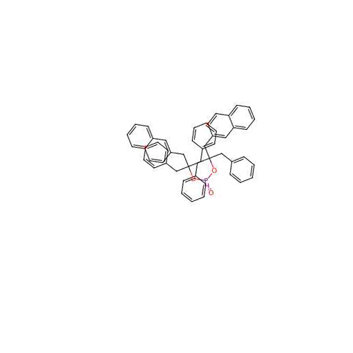 O=[PH](OC(Cc1ccccc1)(Cc1ccccc1)Cc1ccc2ccccc2c1)OC(Cc1ccccc1)(Cc1ccccc1)Cc1ccc2ccccc2c1